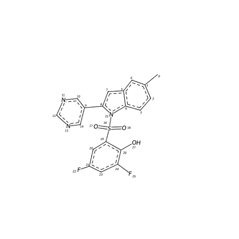 Cc1ccc2c(c1)cc(-c1cncnc1)n2S(=O)(=O)c1cc(F)cc(F)c1O